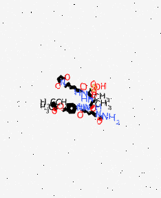 CC(C)[C@H](NC(=O)[C@H](CS(=O)(=O)O)NC(=O)CCCCCN1C(=O)C=CC1=O)C(=O)N[C@@H](CCCNC(N)=O)C(=O)Nc1ccc(COC(=O)C(C)(C)C)cc1